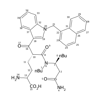 CCCC[C@@H](CC(N)=O)N(CCCC)C(=O)[C@H](CCC(N)C(=O)O)C(=O)c1cn(Cc2cccc3ccccc23)c2ccccc12